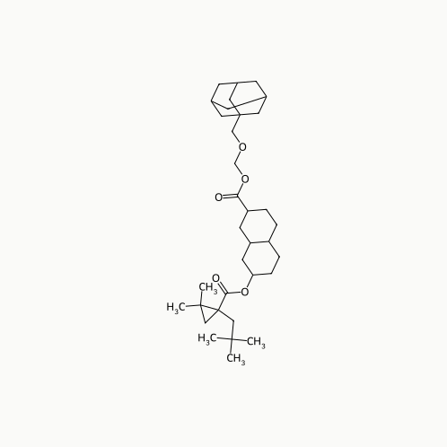 CC(C)(C)CC1(C(=O)OC2CCC3CCC(C(=O)OCOCC45CC6CC(CC(C6)C4)C5)CC3C2)CC1(C)C